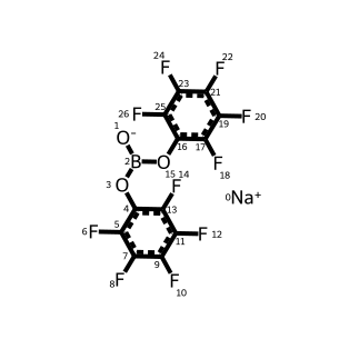 [Na+].[O-]B(Oc1c(F)c(F)c(F)c(F)c1F)Oc1c(F)c(F)c(F)c(F)c1F